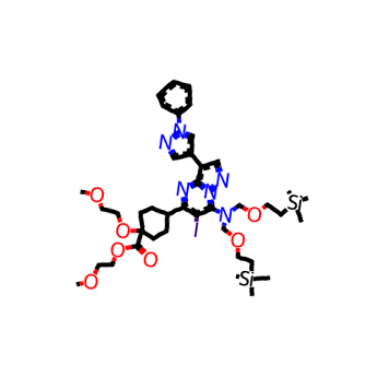 COCCOC(=O)C1(OCCOC)CCC(c2nc3c(-c4cnn(-c5ccccc5)c4)cnn3c(N(COCC[Si](C)(C)C)COCC[Si](C)(C)C)c2I)CC1